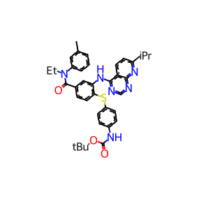 CCN(C(=O)c1ccc(Sc2ccc(NC(=O)OC(C)(C)C)cc2)c(Nc2ncnc3nc(C(C)C)ccc23)c1)c1cccc(C)c1